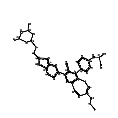 CCOC1=NCc2c(cc(-c3ccc4nn(CCN5CC(C)OC(C)C5)cc4c3)c(=O)n2-c2ccc(OC(F)F)cc2)C=C1